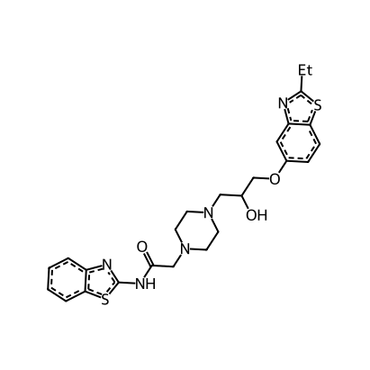 CCc1nc2cc(OCC(O)CN3CCN(CC(=O)Nc4nc5ccccc5s4)CC3)ccc2s1